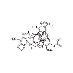 COc1cc2c(cc1OC(=O)OI)CCN[C@]21CS[C@@H]2c3c(OC(C)=O)c(C)c4c(c3[C@H](COC1=O)N1C2C2c3c(cc(C)c(OC)c3O)C[C@H]([C@@H]1C#N)N2C)OCO4